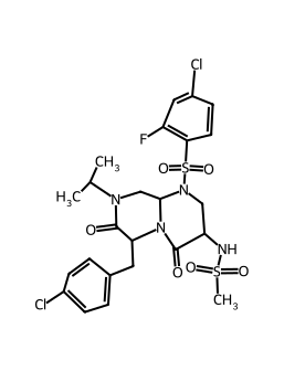 CC(C)N1CC2N(C(=O)C(NS(C)(=O)=O)CN2S(=O)(=O)c2ccc(Cl)cc2F)C(Cc2ccc(Cl)cc2)C1=O